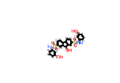 O=S(=O)(Nc1cccc(O)c1)c1ccc2c(c1)C(O)c1cc(S(=O)(=O)Nc3cccc(O)c3)ccc1-2